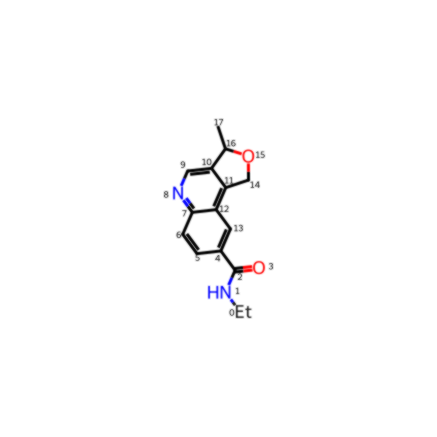 CCNC(=O)c1ccc2ncc3c(c2c1)COC3C